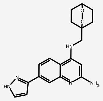 Nc1cc(NCC23CCC(CC2)OC3)c2ccc(-c3cc[nH]n3)cc2n1